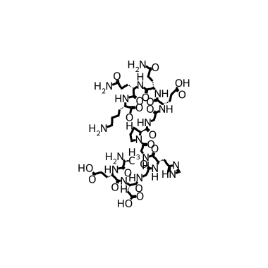 C[C@H](N)C(=O)N[C@@H](CCC(=O)O)C(=O)N[C@@H](CC(=O)O)C(=O)NCC(=O)N[C@@H](Cc1c[nH]cn1)C(=O)NCC(=O)N1CCC[C@H]1C(=O)NCC(=O)N[C@@H](CCC(=O)O)C(=O)N[C@@H](CCC(N)=O)C(=O)N[C@@H](CCC(N)=O)C(=O)N[C@@H](CCCCN)C(=O)O